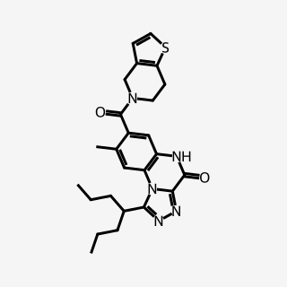 CCCC(CCC)c1nnc2c(=O)[nH]c3cc(C(=O)N4CCc5sccc5C4)c(C)cc3n12